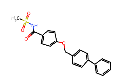 CS(=O)(=O)NC(=O)c1ccc(OCc2ccc(-c3ccccc3)cc2)cc1